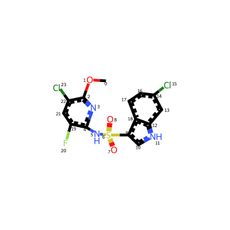 COc1nc(NS(=O)(=O)c2c[nH]c3cc(Cl)ccc23)c(F)cc1Cl